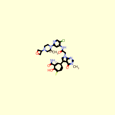 C[C@H]1CN(C2COC2)CCN1c1cc(NC(=O)Cn2cc(C3C#CC(F)=C(O)C(C(N)=O)=C3)c3c(=O)n(C)cnc32)c(Cl)cn1